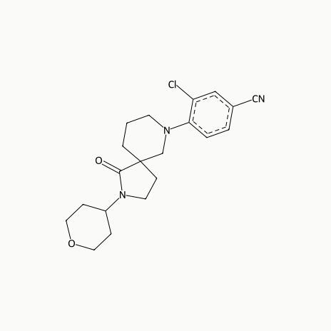 N#Cc1ccc(N2CCCC3(CCN(C4CCOCC4)C3=O)C2)c(Cl)c1